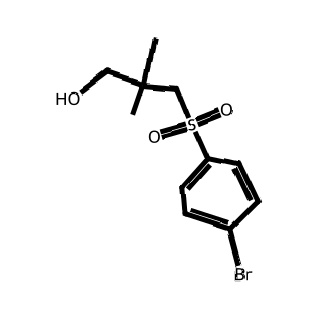 CC(C)(CO)CS(=O)(=O)c1ccc(Br)cc1